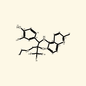 CCSCC(O)(C(Nc1cccc2nc(C)ccc12)c1ccc(O)c(F)c1)C(F)(F)F